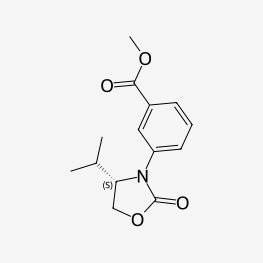 COC(=O)c1cccc(N2C(=O)OC[C@@H]2C(C)C)c1